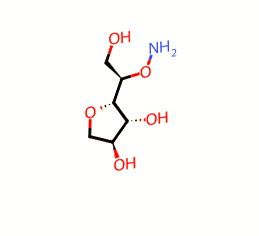 NO[C@H](CO)[C@H]1OC[C@H](O)[C@H]1O